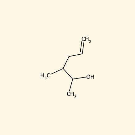 C=CCC(C)C(C)O